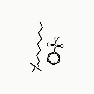 CCCCCCCC[N+](C)(C)C.O=S(=O)([O-])c1ccccc1